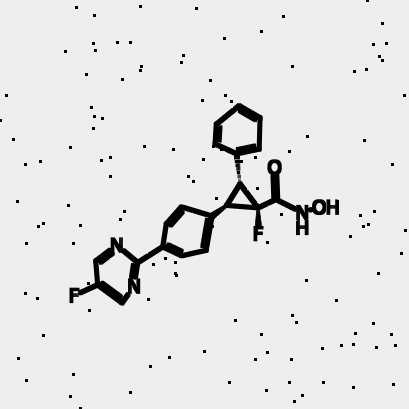 O=C(NO)[C@@]1(F)[C@@H](c2ccccc2)[C@@H]1c1ccc(-c2ncc(F)cn2)cc1